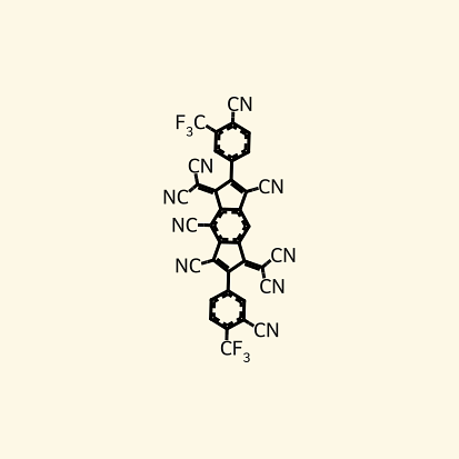 N#CC(C#N)=C1C(c2ccc(C(F)(F)F)c(C#N)c2)=C(C#N)c2c1cc1c(c2C#N)C(=C(C#N)C#N)C(c2ccc(C#N)c(C(F)(F)F)c2)=C1C#N